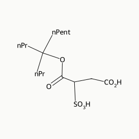 CCCCCC(CCC)(CCC)OC(=O)C(CC(=O)O)S(=O)(=O)O